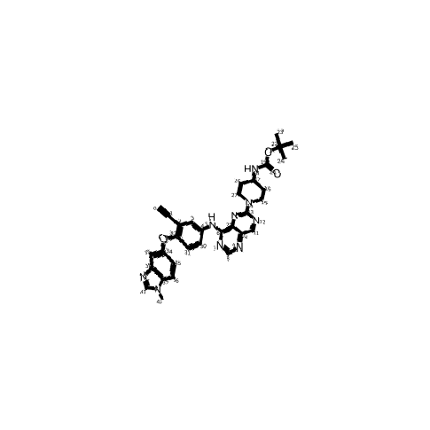 C#Cc1cc(Nc2ncnc3cnc(N4CCC(NC(=O)OC(C)(C)C)CC4)nc23)ccc1Oc1ccc2c(c1)ncn2C